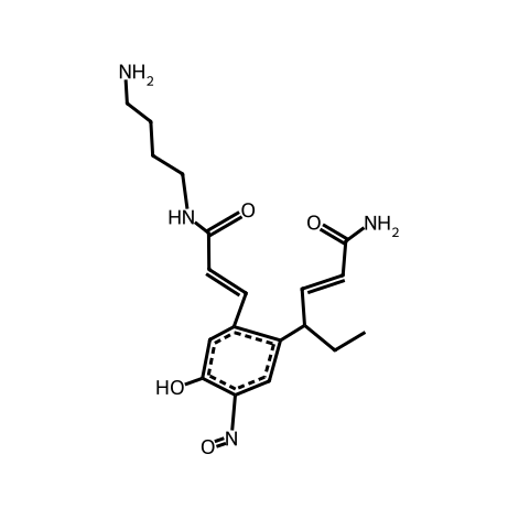 CCC(/C=C/C(N)=O)c1cc(N=O)c(O)cc1/C=C/C(=O)NCCCCN